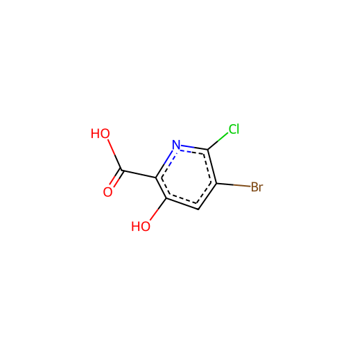 O=C(O)c1nc(Cl)c(Br)cc1O